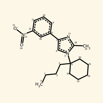 CCCCC1(n2cc(-c3cccc([N+](=O)[O-])c3)nc2C)CCCCC1